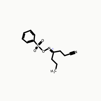 CCC/C(CCC#N)=N\OS(=O)(=O)c1ccccc1